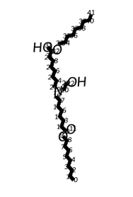 CCCCCCCCCOC(=O)CCCCCCCN(CCO)CCCCCCCC(O)OCCCCCCCCC